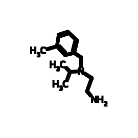 Cc1cccc(CN(CCN)C(C)C)c1